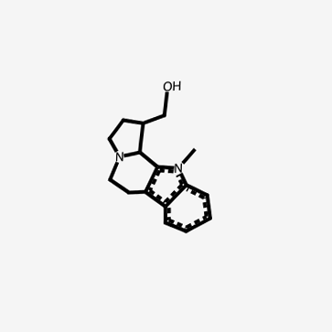 Cn1c2c(c3ccccc31)CCN1CCC(CO)C21